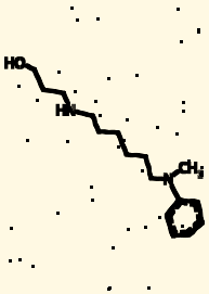 CN(CCCCCCNCCCO)c1ccccc1